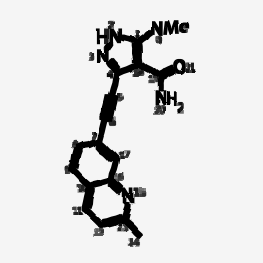 CNc1[nH]nc(C#Cc2ccc3ccc(C)nc3c2)c1C(N)=O